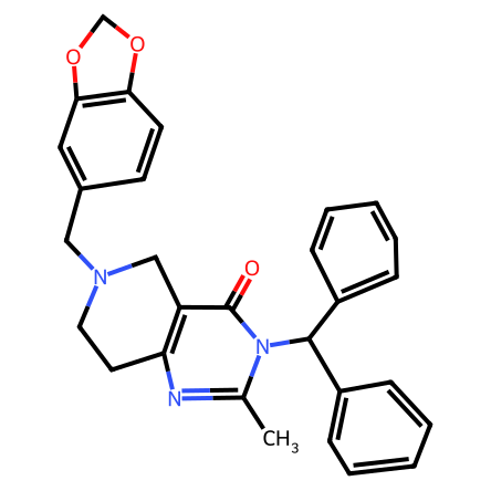 Cc1nc2c(c(=O)n1C(c1ccccc1)c1ccccc1)CN(Cc1ccc3c(c1)OCO3)CC2